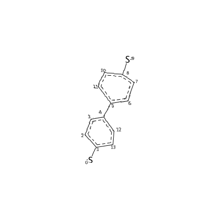 [S]c1ccc(-c2ccc([S])cc2)cc1